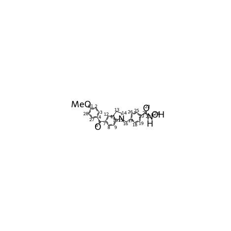 COc1ccc(C(=O)c2ccc3c(c2)CCN3Cc2ccc(C(=O)NO)cc2)cc1